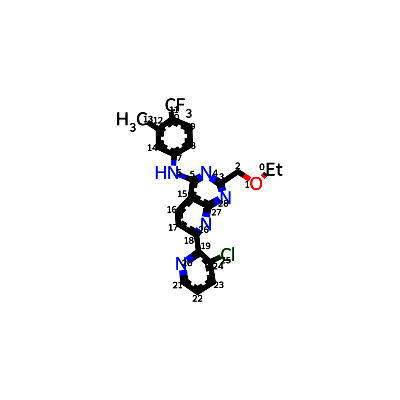 CCOCc1nc(Nc2ccc(C(F)(F)F)c(C)c2)c2ccc(-c3ncccc3Cl)nc2n1